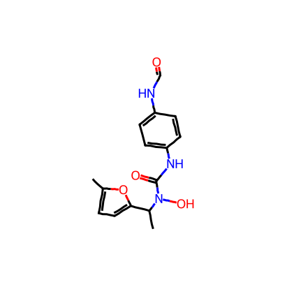 Cc1ccc(C(C)N(O)C(=O)Nc2ccc(NC=O)cc2)o1